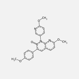 COc1ccc(-c2cc3ccc(OC)nc3n(-c3ccc(OC)nc3)c2=O)cc1